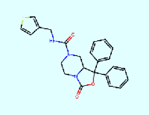 O=C(NCc1ccsc1)N1CCN2C(=O)OC(c3ccccc3)(c3ccccc3)C2C1